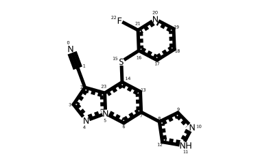 N#Cc1cnn2cc(-c3cn[nH]c3)cc(Sc3cccnc3F)c12